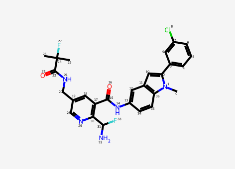 Cn1c(-c2cccc(Cl)c2)cc2cc(NC(=O)c3cc(CNC(=O)C(C)(C)F)cnc3C(N)F)ccc21